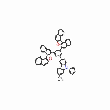 N#Cc1ccc2c3cc(-c4cc(-c5cc6ccccc6c6c5oc5ccc7ccccc7c56)cc(-c5cc6ccccc6c6c5oc5ccc7ccccc7c56)c4)ccc3n(-c3ccccc3)c2c1